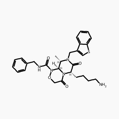 C[C@H]1[C@@H]2N(C(=O)NCc3ccccc3)OCC(=O)N2[C@@H](CCCCN)C(=O)N1Cc1csc2ccccc12